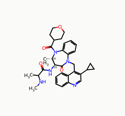 CNC(C)C(=O)N[C@@H]1C(=O)N(Cc2c(C3CC3)cnc3ccccc23)c2ccccc2N(C(=O)C2CCOCC2)[C@H]1C